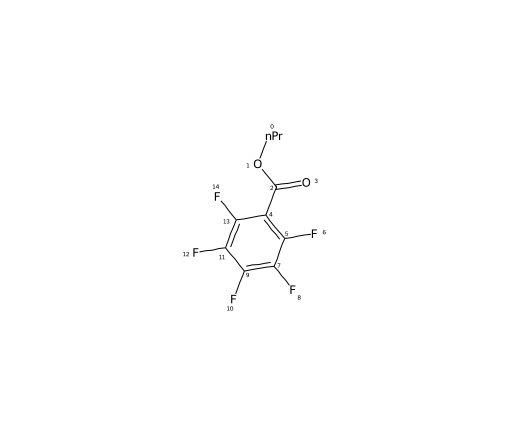 CCCOC(=O)c1c(F)c(F)c(F)c(F)c1F